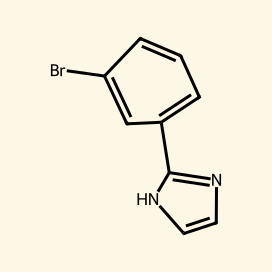 Brc1cccc(-c2ncc[nH]2)c1